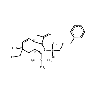 CC(C)(C)[Si](C)(COCc1ccccc1)ON1C(=O)C[C@]12C=C[C@@](O)(CO)C[C@@H]2O[Si](C)(C)C